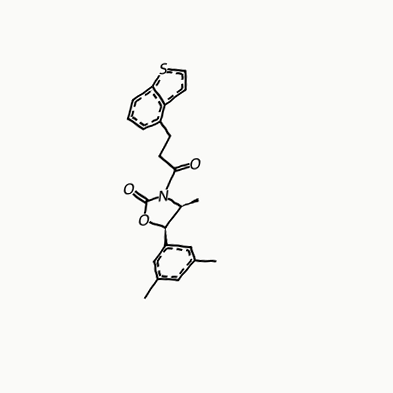 Cc1cc(C)cc([C@H]2OC(=O)N(C(=O)CCc3cccc4sccc34)[C@H]2C)c1